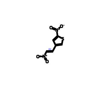 O=[N+]([O-])/C=C/c1csc([N+](=O)[O-])c1